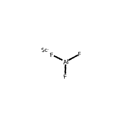 [F][Al]([F])[F].[Sc]